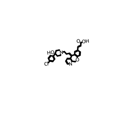 O=C(O)/C=C/c1ccc2c(c1)/C(=C/CCN1CCC(O)(c3ccc(Cl)cc3)CC1)c1cccnc1CO2